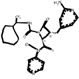 CCN(C(=O)[C@@H]1[C@@H](Cc2ccnc(N)c2)C(=O)N1C(=O)NC(C1CCCCC1)C(F)(F)F)c1ccncc1